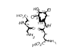 NCC(=O)NCC(=O)O.N[C@@H](CCC(=O)Nc1cc(Cl)c(O)c(Cl)c1)C(=O)O